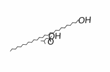 CC(C)CC(=O)O.CCCCCCCCCCCCCCCCCCCCCCCCCCO